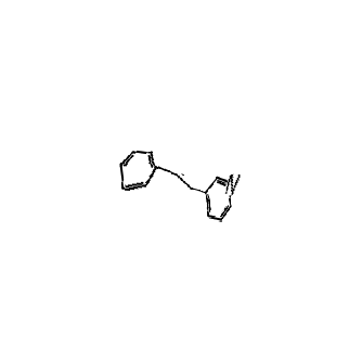 [CH](Cc1cccnc1)c1ccccc1